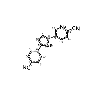 N#Cc1ccc(-c2ccc(-c3ccc(C#N)nc3)[se]2)cc1